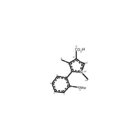 CSc1ccccc1-c1c(C)c(C(=O)O)cn1C